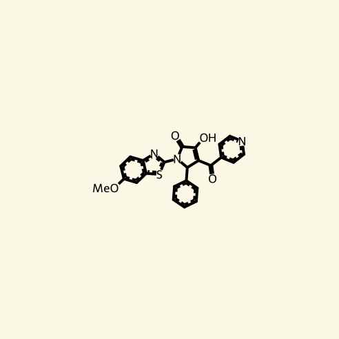 COc1ccc2nc(N3C(=O)C(O)=C(C(=O)c4ccncc4)C3c3ccccc3)sc2c1